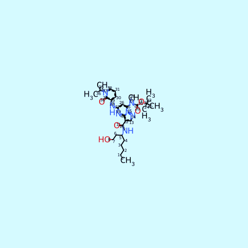 CCCCCC(CCO)NC(=O)c1cnn2c(N(C)C(=O)OC(C)(C)C)cc(Nc3cccn(C(C)C)c3=O)nc12